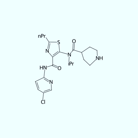 CCCc1nc(C(=O)Nc2ccc(Cl)cn2)c(N(C(=O)C2CCNCC2)C(C)C)s1